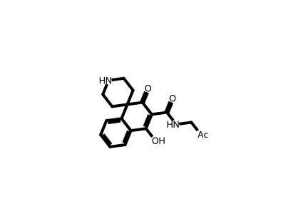 CC(=O)CNC(=O)C1=C(O)c2ccccc2C2(CCNCC2)C1=O